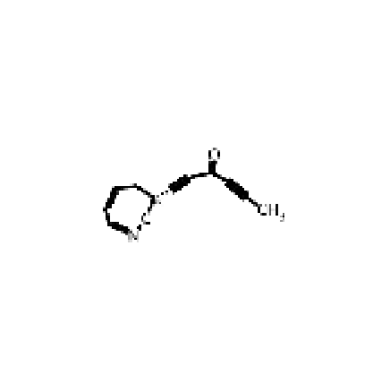 CC#CC(=O)C#C[C@H]1CC=CC=NC1